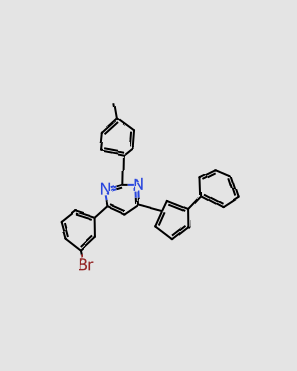 Cc1ccc(-c2nc(-c3cccc(Br)c3)cc(-c3cccc(-c4ccccc4)c3)n2)cc1